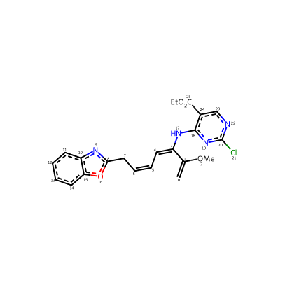 C=C(OC)/C(=C\C=C/Cc1nc2ccccc2o1)Nc1nc(Cl)ncc1C(=O)OCC